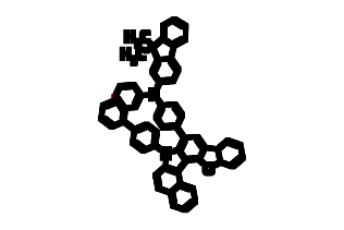 CC1(C)c2ccccc2-c2ccc(N(c3ccccc3)c3ccc(-c4cc5c(c6c7c8ccccc8ccc7n(-c7ccc(-c8ccccc8)cc7)c46)OC4C=CC=CC54)cc3)cc21